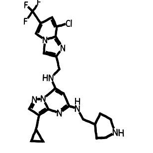 FC(F)(F)c1cc(Cl)c2nc(CNc3cc(NCC4CCNCC4)nc4c(C5CC5)cnn34)cn2c1